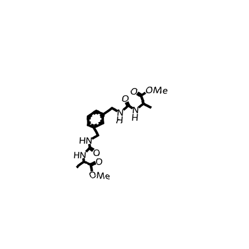 COC(=O)C(C)NC(=O)NCc1cccc(CNC(=O)NC(C)C(=O)OC)c1